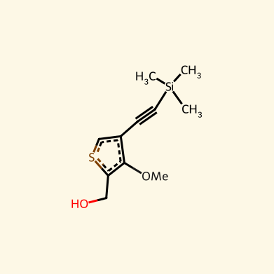 COc1c(C#C[Si](C)(C)C)csc1CO